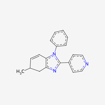 CC1C=Cc2c(nc(-c3ccncc3)n2-c2ccccc2)C1